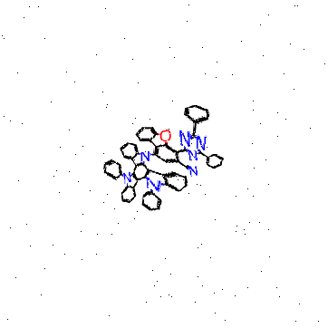 N#Cc1cc(-n2c3ccccc3c3c4c(c5ccccc5n4-c4ccccc4)c4c(c5ccccc5n4-c4ccccc4)c32)c2c(oc3ccccc32)c1-c1nc(-c2ccccc2)nc(-c2ccccc2)n1